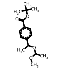 COC(C)OC(C)c1ccc(C(=O)OC(C)(C)C)cc1